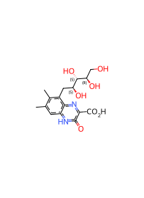 Cc1cc2[nH]c(=O)c(C(=O)O)nc2c(C[C@H](O)[C@H](O)[C@H](O)CO)c1C